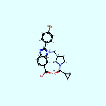 O=C(O)c1ccc2nc(-c3ccc(Br)cc3)n(C[C@H]3CCN(C(=O)C4CC4)C3)c2c1